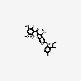 CCC(C)c1cc(C)ccc1Nc1cc2c(NC)c(C(=O)c3c(F)c(OC)cc(OC)c3P)oc2cn1